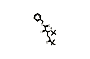 CC(C)(C)NC(CCC(=O)C(C)(C)C)C(=O)C(=O)OCc1ccccc1